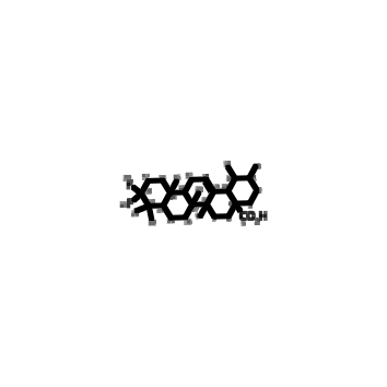 CC1CCC2(C(=O)O)CCC3(C)C(=CCC4C5(C)CCC(F)(F)C(C)(C)C5CCC43C)C2C1C